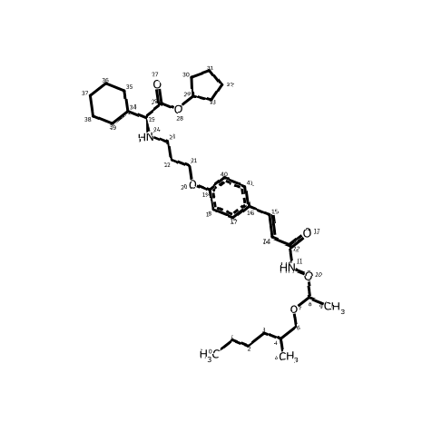 CCCCC(C)COC(C)ONC(=O)/C=C/c1ccc(OCCCN[C@H](C(=O)OC2CCCC2)C2CCCCC2)cc1